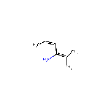 C/C=C\C(N)=C(C)C